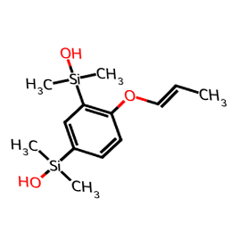 CC=COc1ccc([Si](C)(C)O)cc1[Si](C)(C)O